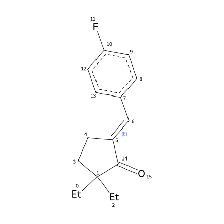 CCC1(CC)CC/C(=C\c2ccc(F)cc2)C1=O